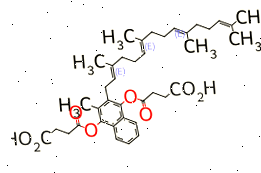 CC(C)=CCC/C(C)=C/CC/C(C)=C/CC/C(C)=C/Cc1c(C)c(OC(=O)CCC(=O)O)c2ccccc2c1OC(=O)CCC(=O)O